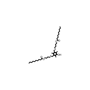 CCCCCCCCCC(=O)OCCCCSCc1c(C)c(O)c(C)c(CSCCCCOC(=O)CCCCCCCCC)c1C